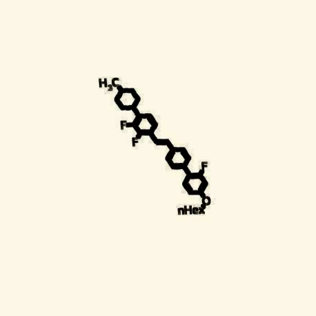 CCCCCCOc1ccc(-c2ccc(/C=C/c3ccc(C4CCC(C)CC4)c(F)c3F)cc2)c(F)c1